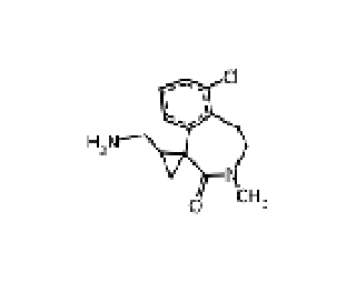 CN1CCc2c(Cl)cccc2C2(CC2CN)C1=O